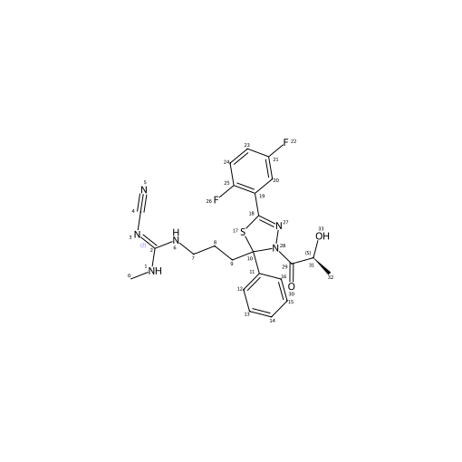 CN/C(=N/C#N)NCCCC1(c2ccccc2)SC(c2cc(F)ccc2F)=NN1C(=O)[C@H](C)O